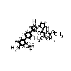 COC(=O)N[C@H](C(=O)N1CCC[C@H]1c1nc(-c2ccc(-c3cc(F)c(N)cc3OC(F)(F)F)cc2)c[nH]1)C(C)C